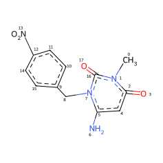 Cn1c(=O)cc(N)n(Cc2ccc([N+](=O)[O-])cc2)c1=O